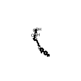 Cc1cc(OCCCCCc2ccc(C(=O)NCCC(=O)O)s2)ccc1-c1ccc(C(C)(C)C)cc1